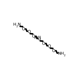 Cl.NCCOCCOCCOCCOCCOCCOCCOCCN